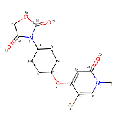 Cn1cc(Br)c(OC2CCC(N3C(=O)COC3=O)CC2)cc1=O